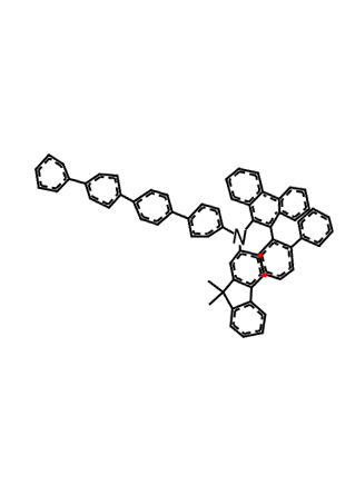 CC1(C)c2ccccc2-c2ccc(N(c3ccc(-c4ccc(-c5ccc(-c6ccccc6)cc5)cc4)cc3)c3c(-c4ccccc4-c4ccccc4)c4ccccc4c4ccccc34)cc21